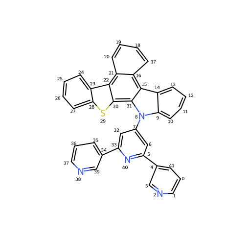 c1cncc(-c2cc(-n3c4ccccc4c4c5ccccc5c5c6ccccc6sc5c43)cc(-c3cccnc3)n2)c1